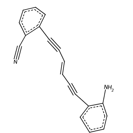 N#Cc1ccccc1C#CC=CC#Cc1ccccc1N